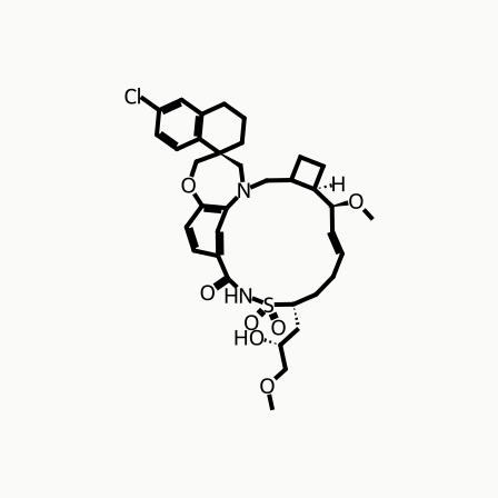 COC[C@H](O)C[C@H]1CC/C=C/[C@H](OC)[C@@H]2CCC2CN2C[C@@]3(CCCc4cc(Cl)ccc43)COc3ccc(cc32)C(=O)NS1(=O)=O